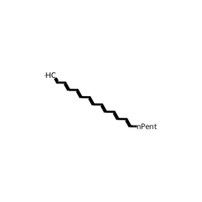 [CH]=CC=CC=CC=CC=CC=CC=CCCCCC